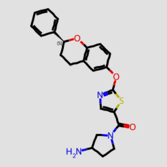 NC1CCN(C(=O)c2cnc(Oc3ccc4c(c3)CC[C@@H](c3ccccc3)O4)s2)C1